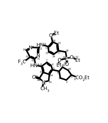 CCOC(=O)C1CCC(c2ccc(Nc3nc(Nc4ccc(CP(=O)(OCC)OCC)cc4OCC)ncc3C(F)(F)F)c3c2CN(C)C3=O)CC1